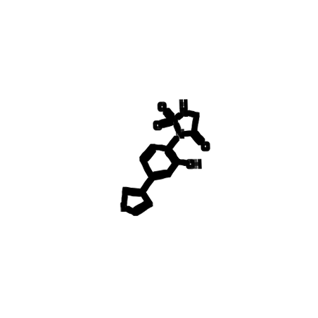 O=C1CNS(=O)(=O)N1c1ccc(-c2ccsc2)cc1O